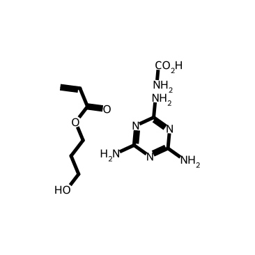 C=CC(=O)OCCCO.NC(=O)O.Nc1nc(N)nc(N)n1